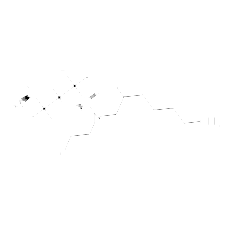 CCCCCC(C)CN(CCC)S(=O)(=O)C(F)(F)C(F)(F)C(F)(F)S(=O)(=O)O